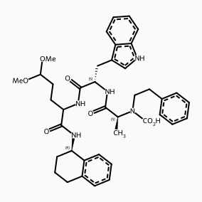 COC(CCC(NC(=O)[C@H](Cc1c[nH]c2ccccc12)NC(=O)[C@H](C)N(CCc1ccccc1)C(=O)O)C(=O)N[C@@H]1CCCc2ccccc21)OC